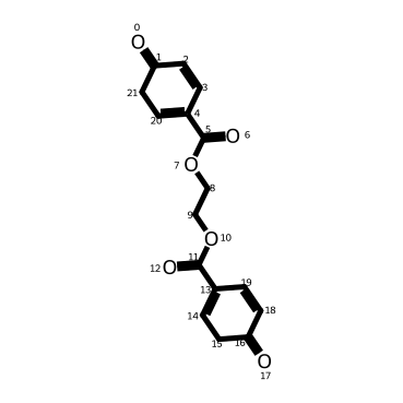 O=C1C=CC(C(=O)OCCOC(=O)C2=CCC(=O)C=C2)=CC1